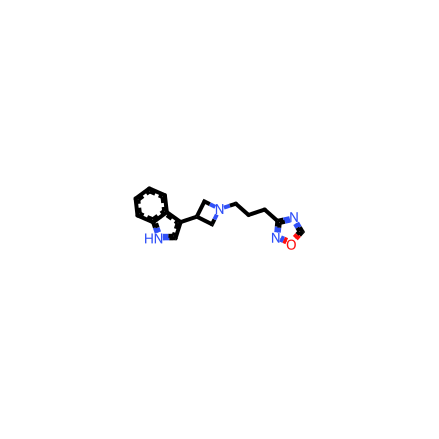 c1ccc2c(C3CN(CCCc4ncon4)C3)c[nH]c2c1